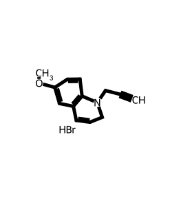 Br.C#CCN1CC=Cc2cc(OC)ccc21